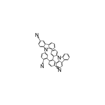 N#Cc1ccc(-c2cc(-n3c4ccccc4c4cc(C#N)ccc43)ccc2C#N)c(-c2ccccc2-n2c3ccccc3c3ccccc32)c1